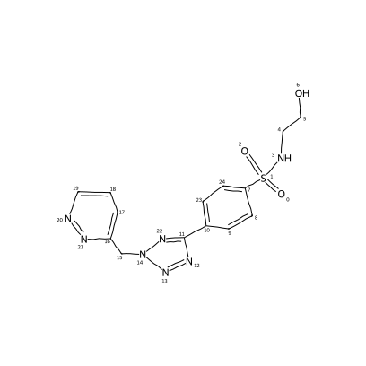 O=S(=O)(NCCO)c1ccc(-c2nnn(Cc3cccnn3)n2)cc1